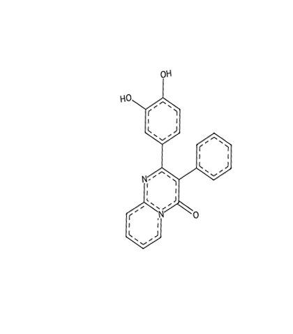 O=c1c(-c2ccccc2)c(-c2ccc(O)c(O)c2)nc2ccccn12